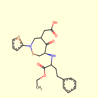 CCOC(=O)C(CCc1ccccc1)N[C@H]1CSN(c2cccs2)CC(CC(=O)O)C1=O